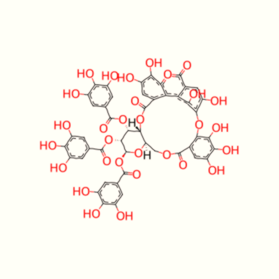 O=C(O[C@@H]1O[C@@H]2COC(=O)c3cc(O)c(O)c(O)c3Oc3c(O)cc4c(=O)oc5c(O)c(O)cc(c5c4c3O)C(=O)O[C@H]2[C@@H](OC(=O)c2cc(O)c(O)c(O)c2)[C@H]1OC(=O)c1cc(O)c(O)c(O)c1)c1cc(O)c(O)c(O)c1